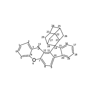 c1ccc2c(c1)Oc1ccc3c(c1S2)C1(c2ccccc2-3)C2CC3CC(C2)CC1C3